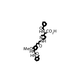 COc1cc(CC(=O)CNc2ccc(C(CC(=O)O)NCC(=O)c3ccccc3)cn2)ccc1NC(=O)Nc1ccccc1C